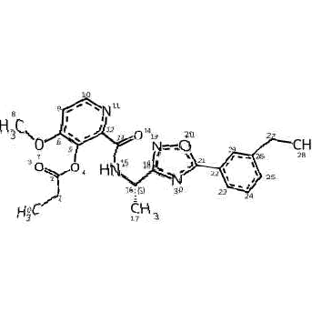 CCC(=O)Oc1c(OC)ccnc1C(=O)N[C@@H](C)c1noc(-c2cccc(CC)c2)n1